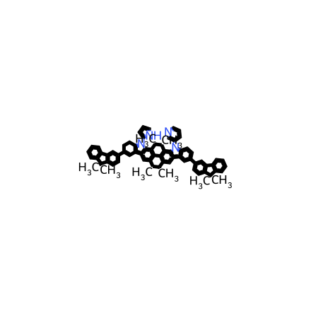 CC1c2cc3c4c(n(-c5ccc[nH]5)c3c3c2-c2c(cc5c6cc(-c7ccc8c(c7)-c7ccccc7C8(C)C)ccc6n(-c6cccnc6)c5c2C(C)C3C)C1C)CCC(c1ccc2c(c1)-c1ccccc1C2(C)C)=C4